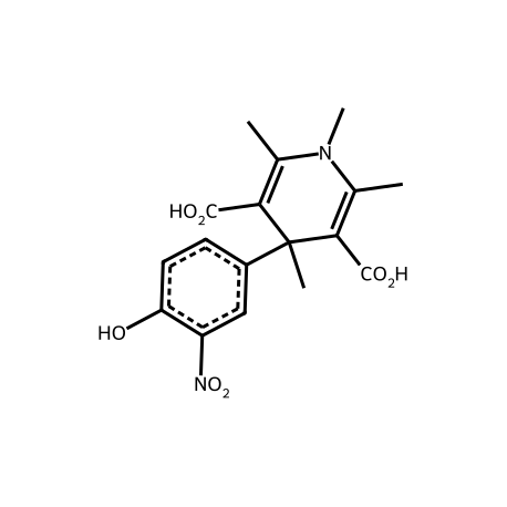 CC1=C(C(=O)O)C(C)(c2ccc(O)c([N+](=O)[O-])c2)C(C(=O)O)=C(C)N1C